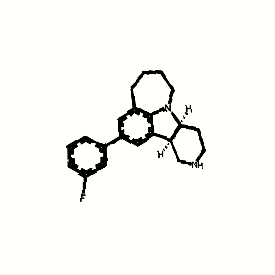 Fc1cccc(-c2cc3c4c(c2)[C@@H]2CNCC[C@@H]2N4CCCC3)c1